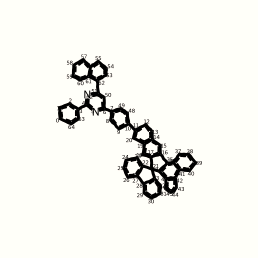 c1ccc(-c2nc(-c3ccc(-c4ccc5cc6c(cc5c4)C4(c5ccccc5-c5ccccc54)c4c-6c5ccccc5c5ccccc45)cc3)cc(-c3cccc4ccccc34)n2)cc1